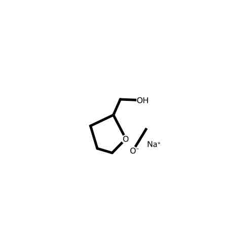 C[O-].OCC1CCCO1.[Na+]